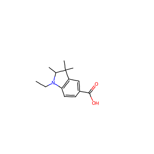 CCN1c2ccc(C(=O)O)cc2C(C)(C)C1C